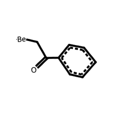 [Be][CH2]C(=O)c1ccccc1